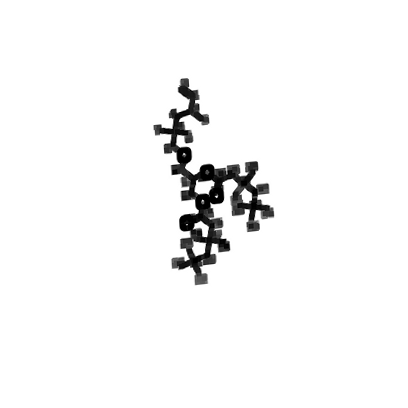 C=CC(C)CC(C)(C)COCC(COC(=O)CC(C)(C)CC(C)(C)C)OC(=O)CC(C)(C)CC(C)(C)C